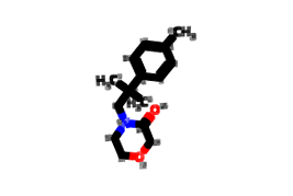 Cc1ccc(C(C)(C)CN2CCOCC2=O)cc1